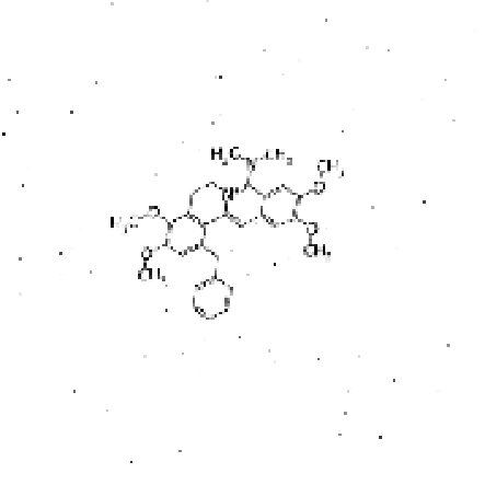 COc1cc2cc3[n+](c(N(C)C)c2cc1OC)CCc1c(OC)c(OC)cc(Cc2ccccc2)c1-3